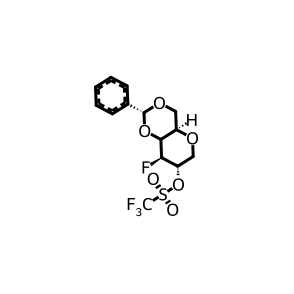 O=S(=O)(O[C@H]1CO[C@@H]2CO[C@@H](c3ccccc3)OC2[C@@H]1F)C(F)(F)F